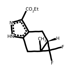 CCOC(=O)c1n[nH]c2c1C[C@@H]1C(F)(F)C1(C)C2